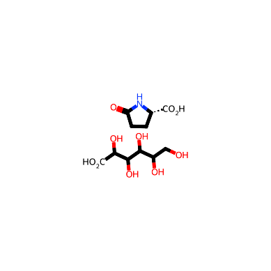 O=C(O)C(O)C(O)C(O)C(O)CO.O=C1CC[C@@H](C(=O)O)N1